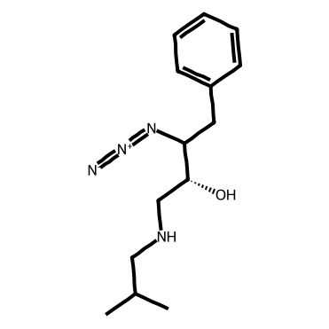 CC(C)CNC[C@@H](O)C(Cc1ccccc1)N=[N+]=[N-]